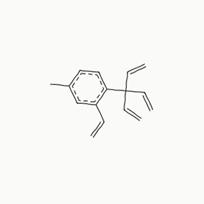 C=Cc1cc(C)ccc1C(C=C)(C=C)C=C